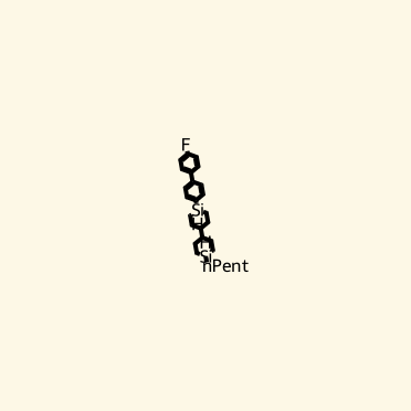 CCCCC[SiH]1CCC(C2CC[SiH](c3ccc(-c4ccc(F)cc4)cc3)CC2)CC1